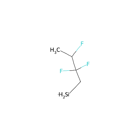 CC(F)C(F)(F)C[SiH2]